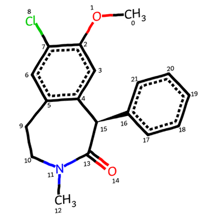 COc1cc2c(cc1Cl)CCN(C)C(=O)[C@@H]2c1ccccc1